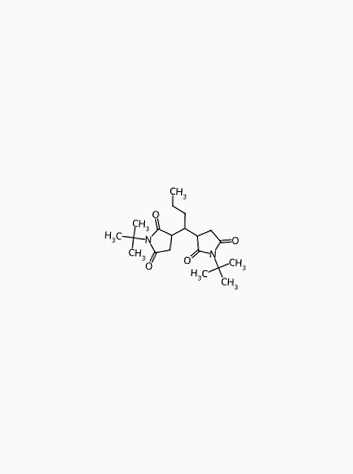 CCCC(C1CC(=O)N(C(C)(C)C)C1=O)C1CC(=O)N(C(C)(C)C)C1=O